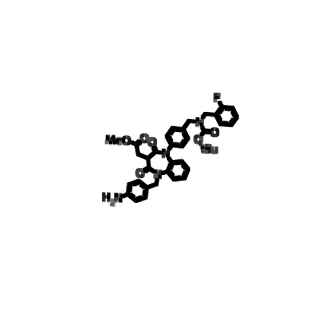 COC(=O)CC1C(=O)N(Cc2ccc(N)cc2)c2ccccc2N(c2ccc(CN(Cc3ccccc3F)C(=O)OC(C)(C)C)cc2)C1=O